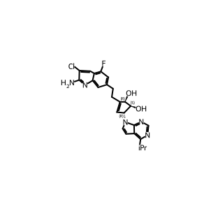 CC(C)c1ncnc2c1ccn2[C@@H]1C=C(CCc2cc(F)c3cc(Cl)c(N)nc3c2)[C@@H](O)[C@H]1O